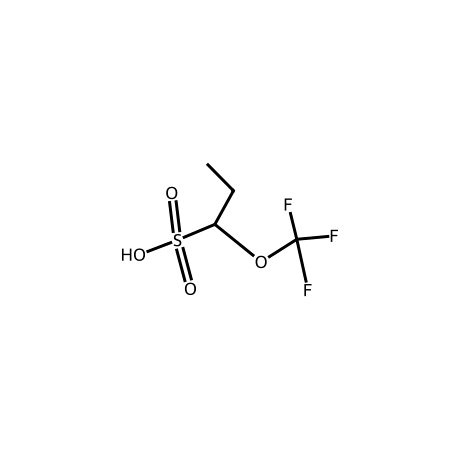 CCC(OC(F)(F)F)S(=O)(=O)O